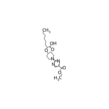 CCCCCCC(OC1CCN(c2ncc(C(=O)OCC)cn2)CC1)C(=O)O